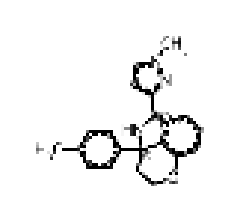 Cc1ccc([C@@]2(NC(=O)c3ccn(C)n3)CCOc3cccnc32)cc1